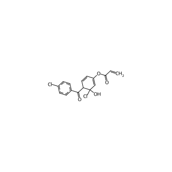 C=CC(=O)OC1=CC(O)(Cl)C(C(=O)c2ccc(Cl)cc2)C=C1